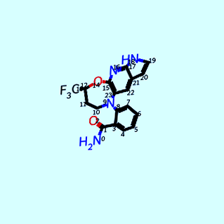 NC(=O)c1ccccc1N1CCC(C(F)(F)F)Oc2nc3[nH]ccc3cc21